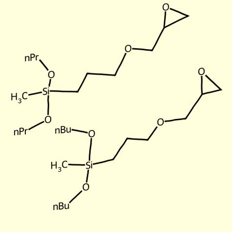 CCCCO[Si](C)(CCCOCC1CO1)OCCCC.CCCO[Si](C)(CCCOCC1CO1)OCCC